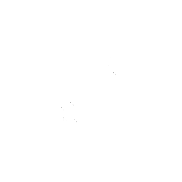 Cc1csc(Sc2cc(Cl)c(-c3nnn[nH]3)s2)n1